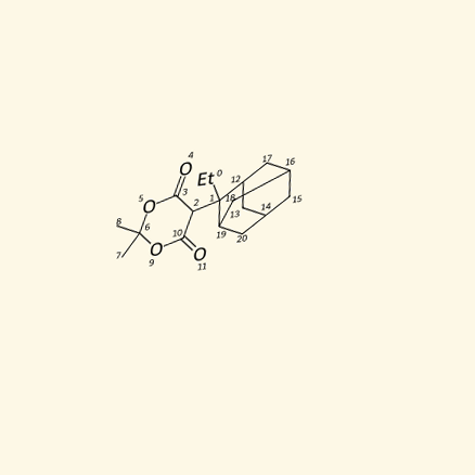 CCC1(C2C(=O)OC(C)(C)OC2=O)C2CC3CC(C2)CC1C3